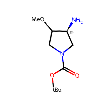 COC1CN(C(=O)OC(C)(C)C)C[C@@H]1N